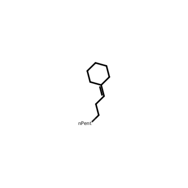 CCCCCCCC=C1CCCCC1